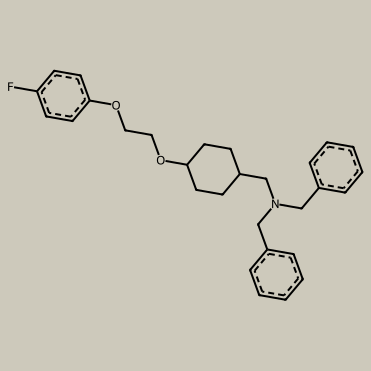 Fc1ccc(OCCOC2CCC(CN(Cc3ccccc3)Cc3ccccc3)CC2)cc1